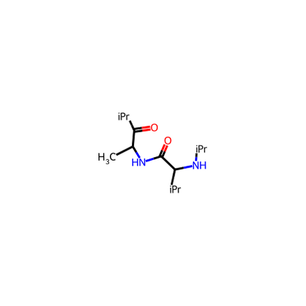 CC(C)NC(C(=O)NC(C)C(=O)C(C)C)C(C)C